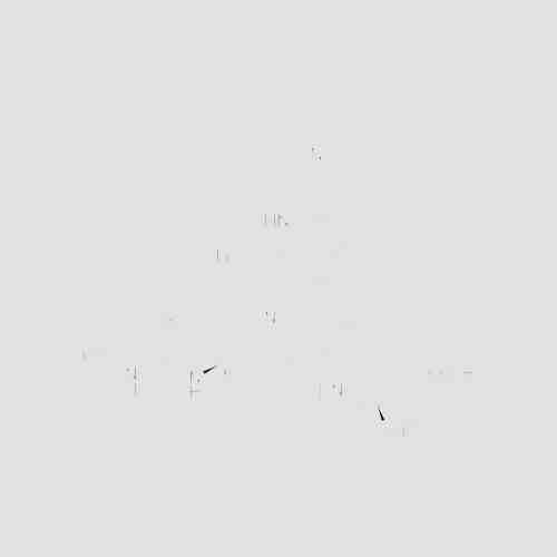 CC(C)NC(=O)N[C@@H]1C[C@@H](C(=O)N[C@H](C=O)CC(=O)O)N(C(=O)[C@@H](NC(=O)c2nccc3ccccc23)C(C)C)C1